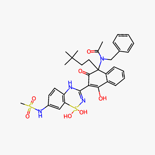 CC(=O)N(Cc1ccccc1)C1(CCC(C)(C)C)C(=O)C(C2=NS(O)(O)c3cc(NS(C)(=O)=O)ccc3N2)=C(O)c2ccccc21